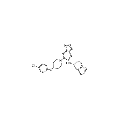 Clc1ccc(OC2CCN(c3nc4nonc4nc3Nc3ccc4occc4c3)CC2)cc1